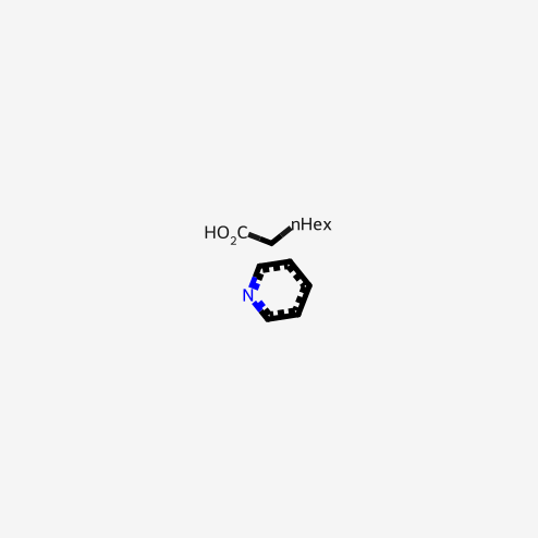 CCCCCCCC(=O)O.c1ccncc1